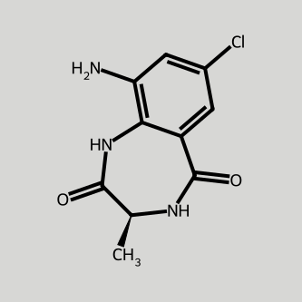 C[C@@H]1NC(=O)c2cc(Cl)cc(N)c2NC1=O